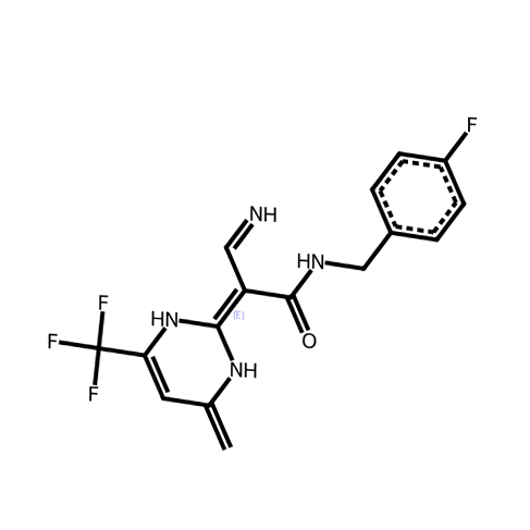 C=C1C=C(C(F)(F)F)N/C(=C(\C=N)C(=O)NCc2ccc(F)cc2)N1